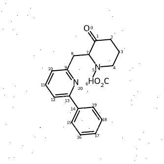 O=C1CCCN(C(=O)O)C1Cc1cccc(-c2ccccc2)n1